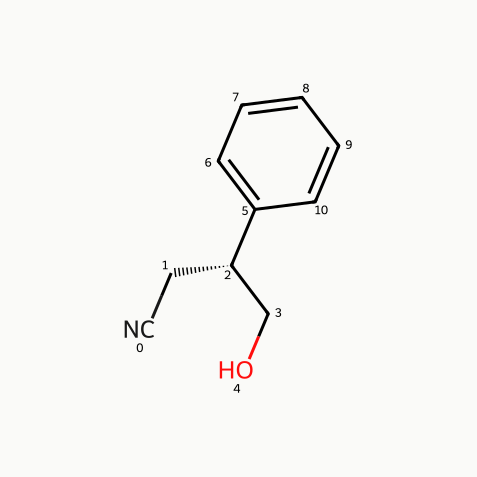 N#CC[C@@H](CO)c1ccccc1